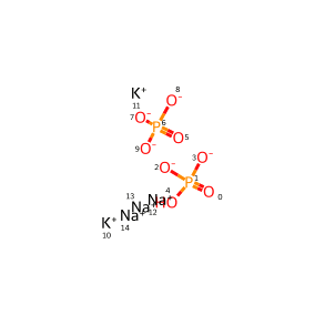 O=P([O-])([O-])O.O=P([O-])([O-])[O-].[K+].[K+].[Na+].[Na+].[Na+]